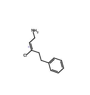 NC/C=C(/Cl)CCc1ccccc1